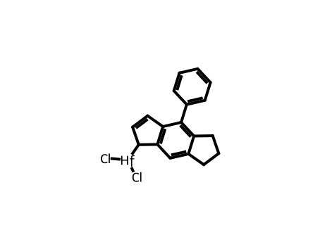 [Cl][Hf]([Cl])[CH]1C=Cc2c1cc1c(c2-c2ccccc2)CCC1